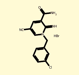 Br.N#Cc1cc(C(N)=O)c(=N)n(Cc2cccc(Cl)c2)c1